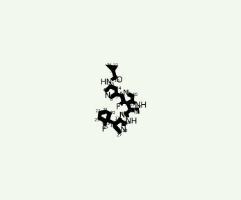 O=C(Nc1cncc(-c2ncc3[nH]nc(-c4nc5c(-c6ccccc6F)ccnc5[nH]4)c3c2F)c1)C1CC1